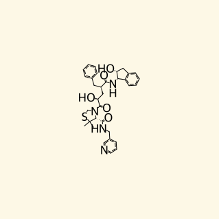 CC1(C)SCN(C(=O)[C@@H](O)C[C@@H](Cc2ccccc2)C(=O)N[C@H]2c3ccccc3C[C@H]2O)[C@@H]1C(=O)NCc1cccnc1